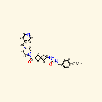 COc1ccc(CNC(=O)NC2CC3(C2)CC(C(=O)N2CCN(Cc4ccncc4)CC2)C3)cc1